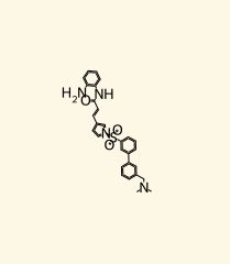 CN(C)Cc1cccc(-c2cccc(S(=O)(=O)n3ccc(C=CC(=O)Nc4ccccc4N)c3)c2)c1